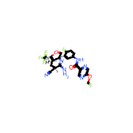 C[C@]1(C#N)C[C@H]2[C@H](C(F)(F)F)OC[C@@]2(c2cc(NC(=O)c3cnc(OCF)cn3)ccc2F)N=C1N